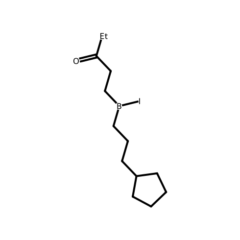 CCC(=O)CCB(I)CCCC1CCCC1